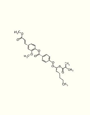 C=C(C)C(=O)OC(CCCCC)OOc1ccc(C(=O)Oc2ccc(C=CC(=O)OC)cc2OC)cc1